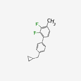 Cc1ccc(-c2ccc(CC3CC3)cc2)c(F)c1F